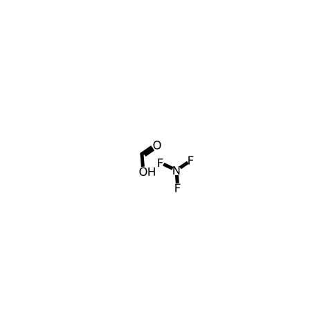 FN(F)F.O=CO